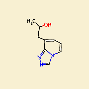 CC(O)Cc1cccn2cnnc12